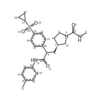 CNC(=O)N1CC[C@H](CC(C(=O)Nc2ccc(C)cn2)c2ccc(S(=O)(=O)C3CC3)cc2)C1